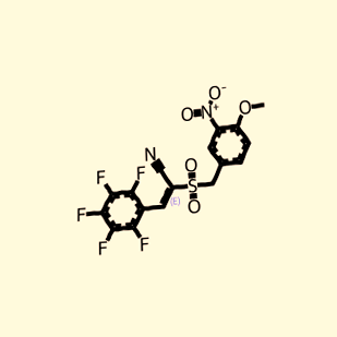 COc1ccc(CS(=O)(=O)/C(C#N)=C/c2c(F)c(F)c(F)c(F)c2F)cc1[N+](=O)[O-]